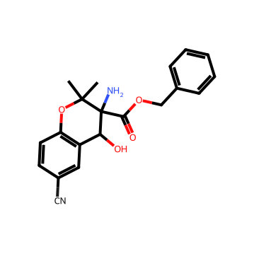 CC1(C)Oc2ccc(C#N)cc2C(O)C1(N)C(=O)OCc1ccccc1